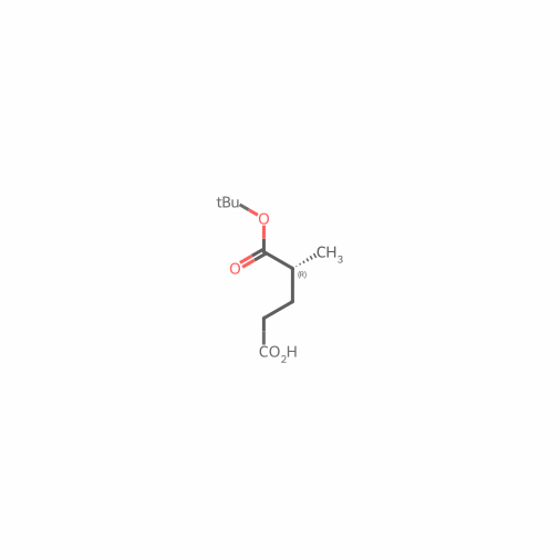 C[C@H](CCC(=O)O)C(=O)OC(C)(C)C